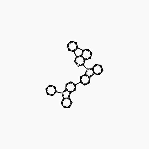 c1ccc(-n2c3ccccc3c3cc(-c4ccc5c6ccccc6n(-c6ncc7c8c(cccc68)-c6ccccc6-7)c5c4)ccc32)cc1